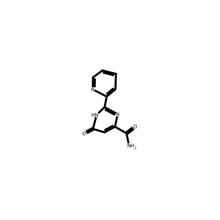 NC(=O)c1cc(=O)[nH]c(-c2ccccn2)n1